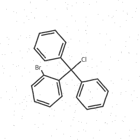 ClC(c1ccccc1)(c1ccccc1)c1ccccc1Br